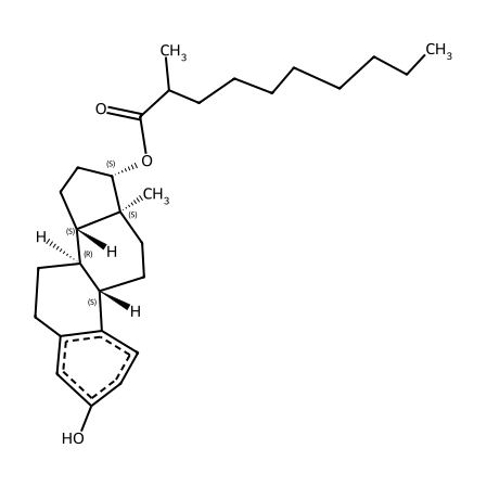 CCCCCCCCC(C)C(=O)O[C@H]1CC[C@H]2[C@@H]3CCc4cc(O)ccc4[C@H]3CC[C@]12C